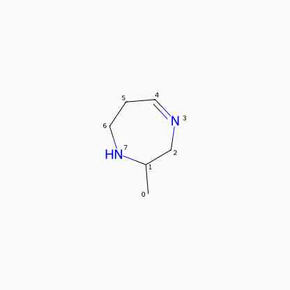 CC1CN=CCCN1